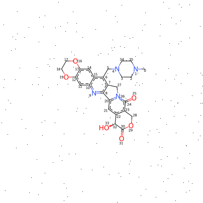 CN1CCN(Cc2c3c(nc4cc5c(cc24)OCCO5)-c2cc4c(c(=O)n2C3)COC(=O)[C@H]4O)CC1